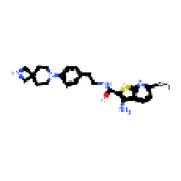 Cc1ccc2c(N)c(C(=O)NCCc3ccc(N4CCC5(CC4)CNC5)cc3)sc2n1